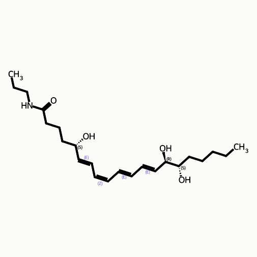 CCCCC[C@H](O)[C@H](O)/C=C/C=C/C=C\C=C\[C@@H](O)CCCC(=O)NCCC